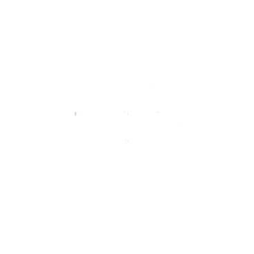 CCN(c1ncc(F)cc1[N+](C)(C)CC)C1CCNCC1